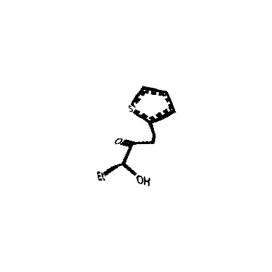 CCC(O)C(=O)Cc1cccs1